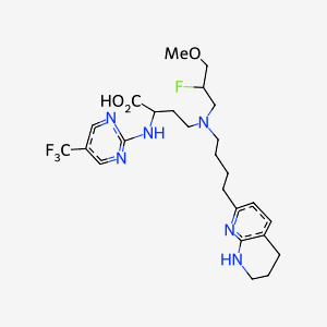 COCC(F)CN(CCCCc1ccc2c(n1)NCCC2)CCC(Nc1ncc(C(F)(F)F)cn1)C(=O)O